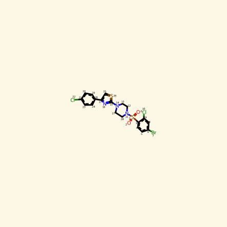 O=S(=O)(c1ccc(Br)cc1Cl)N1CCN(c2nc(-c3ccc(Cl)cc3)cs2)CC1